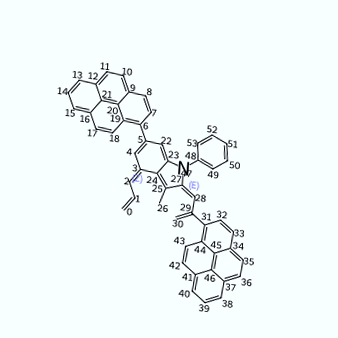 C=C/C=c1/cc(-c2ccc3ccc4cccc5ccc2c3c45)cc2c1c(C)/c(=C\C(=C)c1ccc3ccc4cccc5ccc1c3c45)n2-c1ccccc1